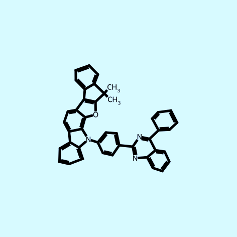 CC1(C)c2ccccc2-c2c1oc1c2ccc2c3ccccc3n(-c3ccc(-c4nc(-c5ccccc5)c5ccccc5n4)cc3)c21